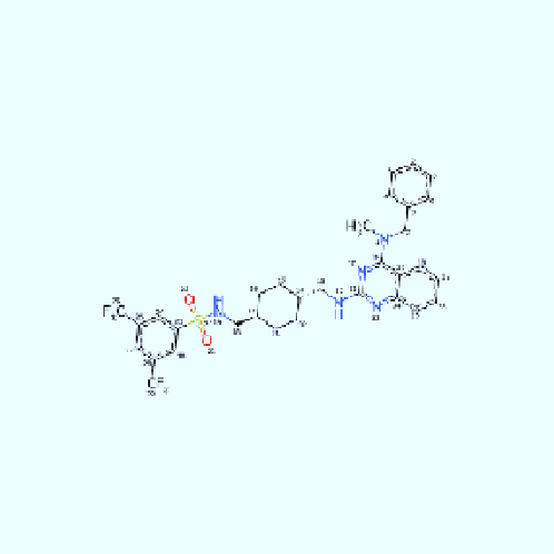 CN(Cc1ccccc1)c1nc(NC[C@H]2CC[C@H](CNS(=O)(=O)c3cc(C(F)(F)F)cc(C(F)(F)F)c3)CC2)nc2ccccc12